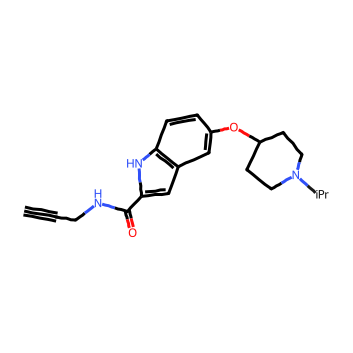 C#CCNC(=O)c1cc2cc(OC3CCN(C(C)C)CC3)ccc2[nH]1